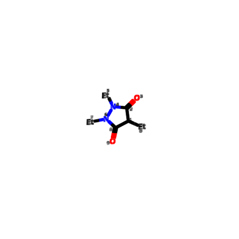 CCC1C(=O)N(CC)N(CC)C1=O